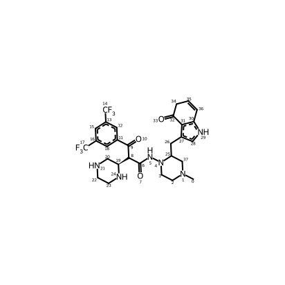 CN1CCN(NC(=O)C(C(=O)c2cc(C(F)(F)F)cc(C(F)(F)F)c2)[C@@H]2CNCCN2)C(Cc2c[nH]c3c2C(=O)CC=C3)C1